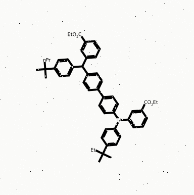 CCCC(C)(C)c1ccc(C(c2ccc(-c3ccc(N(c4ccc(C(C)(C)CC)cc4)c4cccc(C(=O)OCC)c4)cc3)cc2)c2cccc(C(=O)OCC)c2)cc1